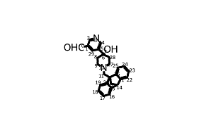 O=Cc1cncc(C2(O)CCN(CC34CC(c5ccccc53)c3ccccc34)CC2)c1